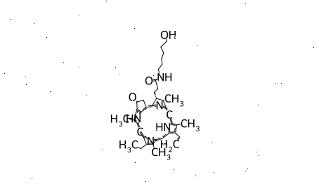 C=Cc1c(C)c2cc3nc(c4c5[nH]c(cc6nc(cc1[nH]2)C(C)=C6CC)c(C)c5C(=O)C4)[C@@H](CCC(=O)NCCCCCCO)[C@@H]3C